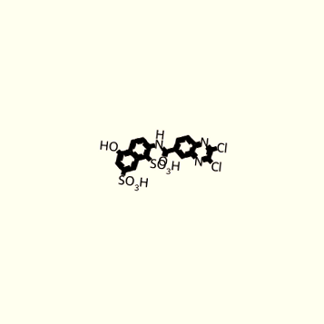 O=C(Nc1ccc2c(O)cc(S(=O)(=O)O)cc2c1S(=O)(=O)O)c1ccc2nc(Cl)c(Cl)nc2c1